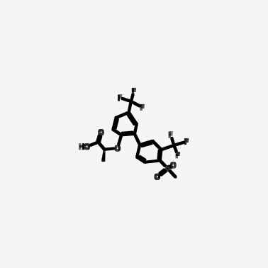 C[C@H](Oc1ccc(C(F)(F)F)cc1-c1ccc(S(C)(=O)=O)c(C(F)(F)F)c1)C(=O)O